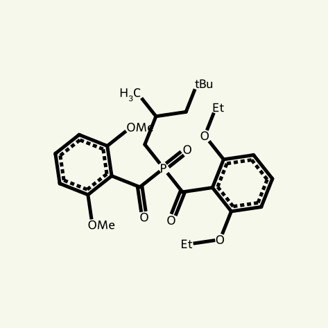 CCOc1cccc(OCC)c1C(=O)P(=O)(CC(C)CC(C)(C)C)C(=O)c1c(OC)cccc1OC